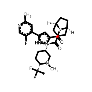 Cc1cc(-c2cc(C(=O)N3[C@@H]4CC[C@H]3CC(C(=O)N[C@H]3CC[C@@H](C(F)(F)F)N(C)C3)C4)n[nH]2)c(F)cn1